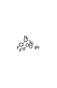 CC(C)[C@H]1CN(Cc2cncc(-c3ccc(F)c(C(F)F)c3)c2)C(=O)O1